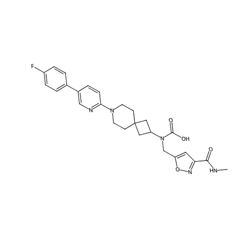 CNC(=O)c1cc(CN(C(=O)O)C2CC3(CCN(c4ccc(-c5ccc(F)cc5)cn4)CC3)C2)on1